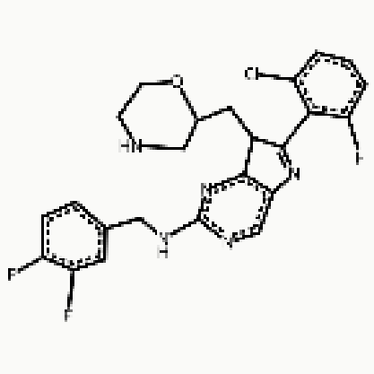 Fc1ccc(CNc2ncc3c(n2)C(CC2CNCCO2)C(c2c(F)cccc2Cl)=N3)cc1F